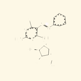 Nc1nc(Cl)c(/N=N/c2ccccc2)c(N[C@@H]2C[C@H](CO)[C@@H](O)[C@H]2O)n1